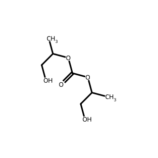 CC(CO)OC(=O)OC(C)CO